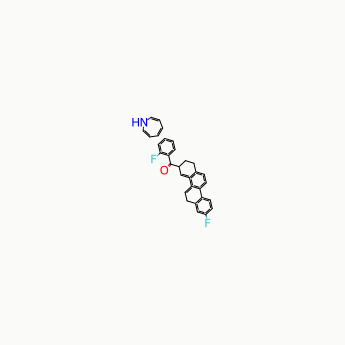 C1=CC=CNC=C1.O=C(c1ccccc1F)C1C=c2c(ccc3c2=CCc2cc(F)ccc2-3)CC1